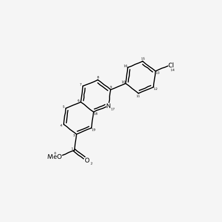 COC(=O)c1ccc2ccc(-c3ccc(Cl)cc3)nc2c1